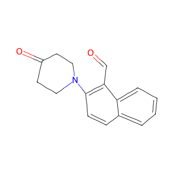 O=Cc1c(N2CCC(=O)CC2)ccc2ccccc12